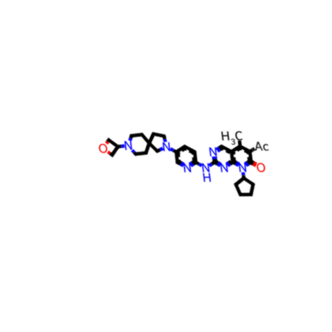 CC(=O)c1c(C)c2cnc(Nc3ccc(N4CCC5(CCN(C6COC6)CC5)C4)cn3)nc2n(C2CCCC2)c1=O